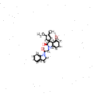 CCCC1(CCC)C(=O)N(CC(=O)N2CCc3ccccc32)c2cccc(Br)c21